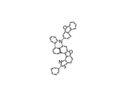 c1ccc(-c2nc3c(ccc4oc5cc(N(c6ccc7c(c6)oc6ccccc67)c6ccccc6-c6ccccc6)ccc5c43)s2)cc1